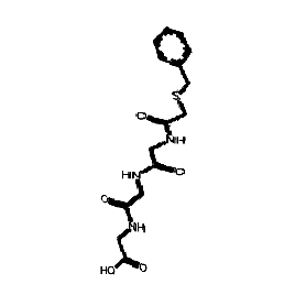 O=C(O)CNC(=O)CNC(=O)CNC(=O)CSCc1ccccc1